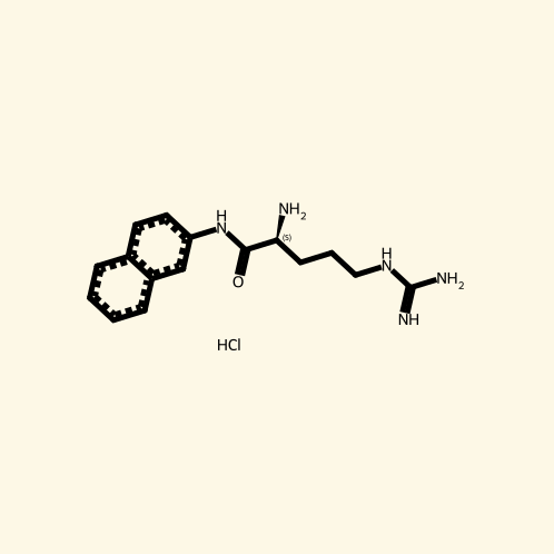 Cl.N=C(N)NCCC[C@H](N)C(=O)Nc1ccc2ccccc2c1